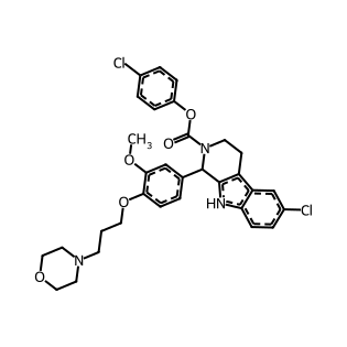 COc1cc(C2c3[nH]c4ccc(Cl)cc4c3CCN2C(=O)Oc2ccc(Cl)cc2)ccc1OCCCN1CCOCC1